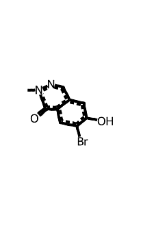 Cn1ncc2cc(O)c(Br)cc2c1=O